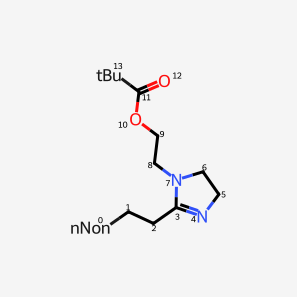 CCCCCCCCCCCC1=NCCN1CCOC(=O)C(C)(C)C